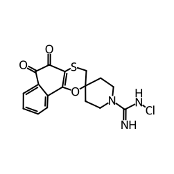 N=C(NCl)N1CCC2(CC1)CSC1=C(O2)c2ccccc2C(=O)C1=O